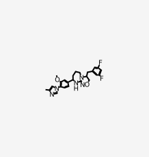 COc1cc(C2CCCN3C(=NOCC3Cc3cc(F)cc(F)c3)N2)ccc1-n1cnc(C)c1